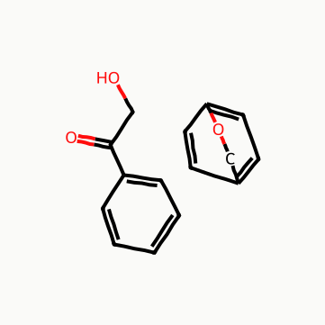 O=C(CO)c1ccccc1.c1cc2ccc1CO2